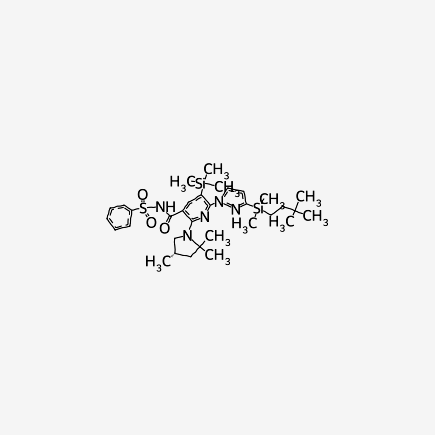 C[C@@H]1CN(c2nc(-n3ccc([Si](C)(C)CCC(C)(C)C)n3)c([Si](C)(C)C)cc2C(=O)NS(=O)(=O)c2ccccc2)C(C)(C)C1